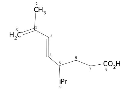 C=C(C)/C=C/C(CCC(=O)O)C(C)C